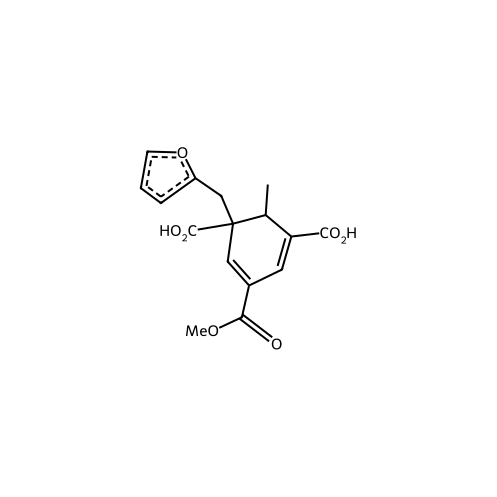 COC(=O)C1=CC(Cc2ccco2)(C(=O)O)C(C)C(C(=O)O)=C1